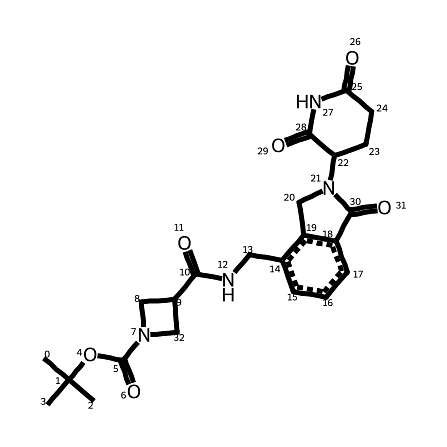 CC(C)(C)OC(=O)N1CC(C(=O)NCc2cccc3c2CN(C2CCC(=O)NC2=O)C3=O)C1